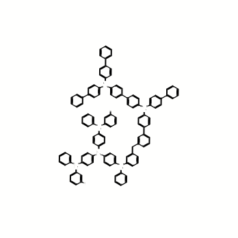 Cc1cccc(N(c2ccccc2)c2ccc(N(c3ccc(N(c4ccccc4)c4cccc(C)c4)cc3)c3ccc(N(c4ccccc4)c4cccc(Cc5cccc(-c6ccc(N(c7ccc(-c8ccccc8)cc7)c7ccc(-c8ccc(N(c9ccc(-c%10ccccc%10)cc9)c9ccc(-c%10ccccc%10)cc9)cc8)cc7)cc6)c5)c4)cc3)cc2)c1